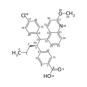 CCC[C@H](c1ccc(C(=O)O)cc1)C(c1ccc(Cl)cc1)c1cccc2nc(OC)ccc12